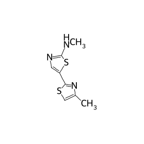 CNc1ncc(-c2nc(C)cs2)s1